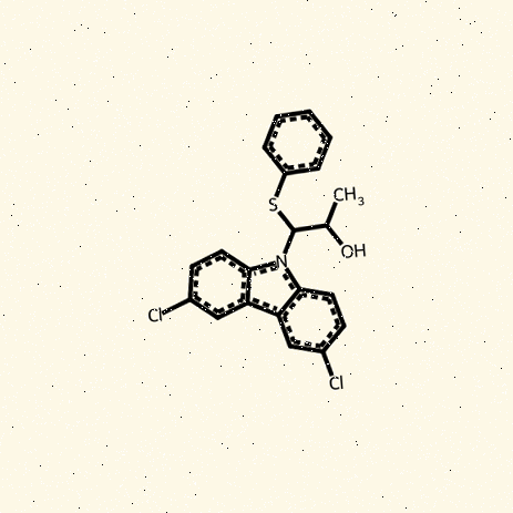 CC(O)C(Sc1ccccc1)n1c2ccc(Cl)cc2c2cc(Cl)ccc21